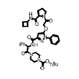 CCCCOC(=O)N1CCN(C(=O)C(NC(=O)c2cc(OCC(=O)N3CCCC3C(=O)NC3CCC3)n(-c3ccccc3)n2)C(C)C)CC1